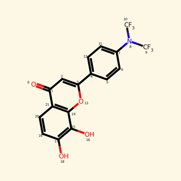 O=c1cc(-c2ccc(N(C(F)(F)F)C(F)(F)F)cc2)oc2c(O)c(O)ccc12